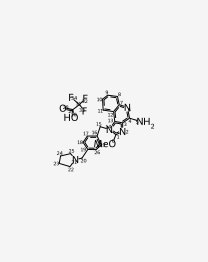 COc1nc2c(N)nc3ccccc3c2n1Cc1ccc(CN2CCCC2)cc1.O=C(O)C(F)(F)F